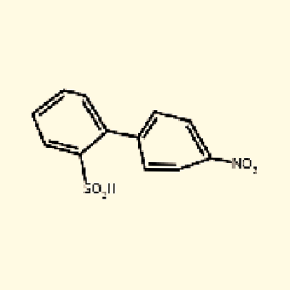 O=[N+]([O-])c1ccc(-c2ccccc2S(=O)(=O)O)cc1